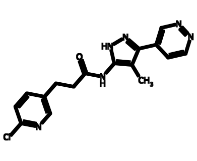 Cc1c(-c2ccnnc2)n[nH]c1NC(=O)CCc1ccc(Cl)nc1